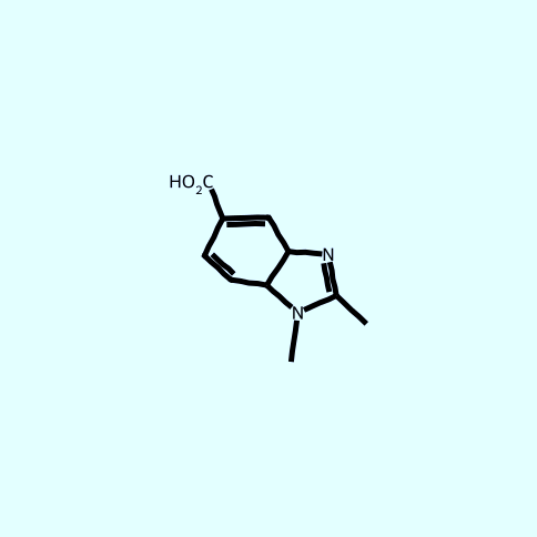 CC1=NC2C=C(C(=O)O)C=CC2N1C